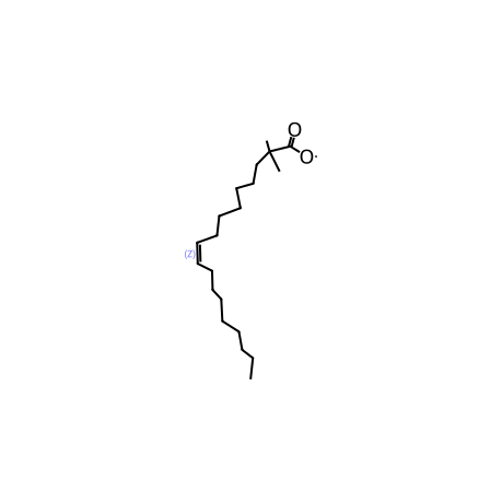 CCCCCCCC/C=C\CCCCCCC(C)(C)C([O])=O